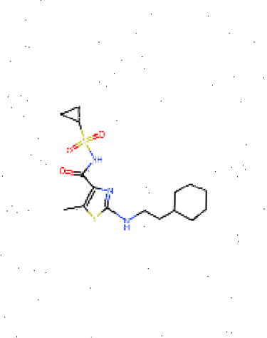 Cc1sc(NCCC2CCCCC2)nc1C(=O)NS(=O)(=O)C1CC1